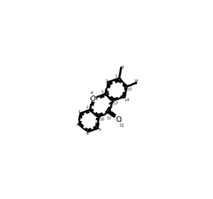 Cc1cc2oc3ccccc3c(=O)c2cc1C